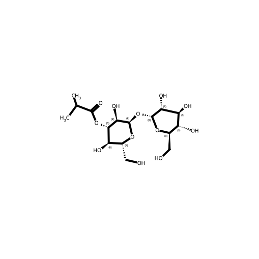 CC(C)C(=O)O[C@@H]1[C@@H](O)[C@@H](O[C@H]2O[C@H](CO)[C@@H](O)[C@H](O)[C@H]2O)O[C@H](CO)[C@H]1O